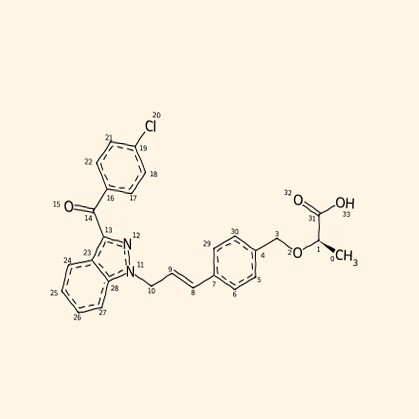 C[C@@H](OCc1ccc(C=CCn2nc(C(=O)c3ccc(Cl)cc3)c3ccccc32)cc1)C(=O)O